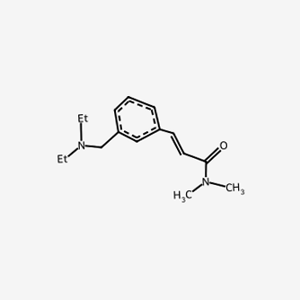 CCN(CC)Cc1cccc(C=CC(=O)N(C)C)c1